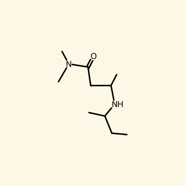 CCC(C)NC(C)CC(=O)N(C)C